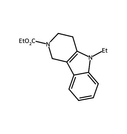 CCOC(=O)N1CCc2c(c3ccccc3n2CC)C1